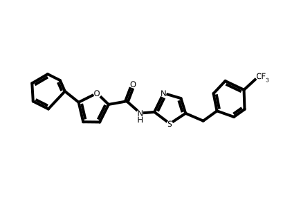 O=C(Nc1ncc(Cc2ccc(C(F)(F)F)cc2)s1)c1ccc(-c2ccccc2)o1